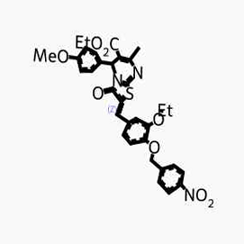 CCOC(=O)C1=C(C)N=c2s/c(=C\c3ccc(OCc4ccc([N+](=O)[O-])cc4)c(OCC)c3)c(=O)n2C1c1ccc(OC)cc1